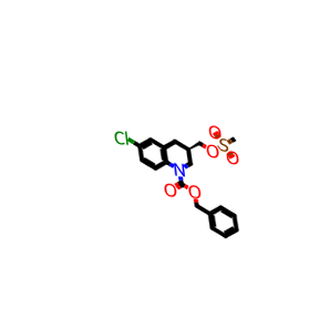 CS(=O)(=O)OC[C@@H]1Cc2cc(Cl)ccc2N(C(=O)OCc2ccccc2)C1